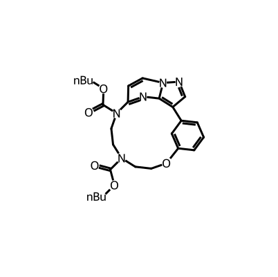 CCCCOC(=O)N1CCOc2cccc(c2)-c2cnn3ccc(nc23)N(C(=O)OCCCC)CC1